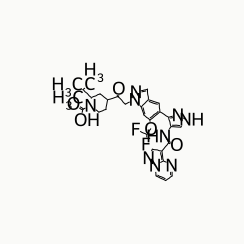 CC(C)(C)C1CC(C(=O)Cn2ncc3cc(-c4n[nH]cc4NC(=O)c4cnn5cccnc45)c(OC(F)F)cc32)CCN1C(=O)O